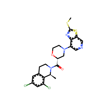 CSc1nc2c(N3CCO[C@@H](C(=O)N4CCc5cc(Cl)cc(Cl)c5[C@@H]4C)C3)cncc2s1